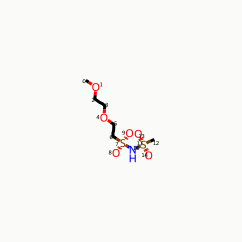 COCCOCCS(=O)(=O)NS(C)(=O)=O